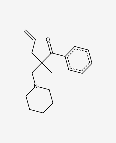 C=CCC(C)(CN1CCCCC1)C(=O)c1ccccc1